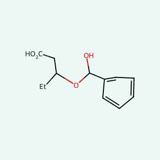 CCC(CC(=O)O)OC(O)c1ccccc1